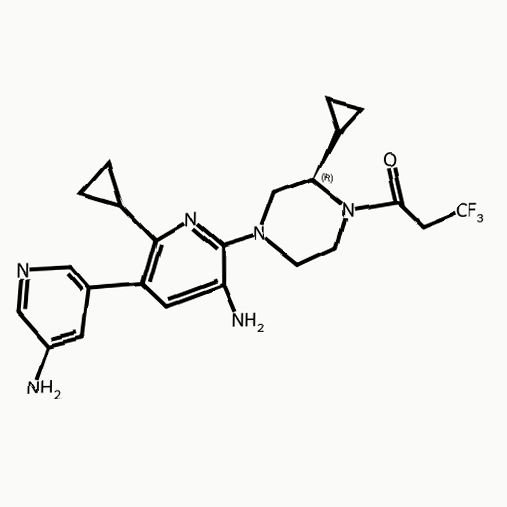 Nc1cncc(-c2cc(N)c(N3CCN(C(=O)CC(F)(F)F)[C@H](C4CC4)C3)nc2C2CC2)c1